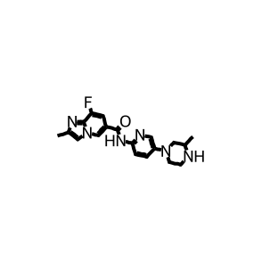 Cc1cn2cc(C(=O)Nc3ccc(N4CCNC(C)C4)cn3)cc(F)c2n1